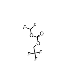 O=C(OCC(F)(F)F)OC(F)F